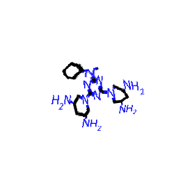 CN(c1nc(N2C[C@H](N)C[C@H](N)C2)nc(N2C[C@H](N)C[C@H](N)C2)n1)C1CCCCC1